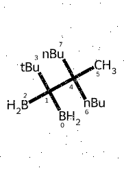 BC(B)(C(C)(C)C)C(C)(CCCC)CCCC